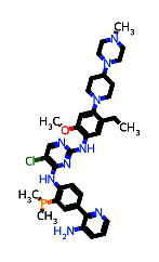 CCc1cc(Nc2ncc(Cl)c(Nc3ccc(-c4ncccc4N)cc3P(C)C)n2)c(OC)cc1N1CCC(N2CCN(C)CC2)CC1